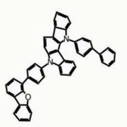 c1ccc(-c2ccc(-n3c4ccccc4c4ccc5c(c6ccccc6n5-c5ccc(-c6cccc7c6oc6ccccc67)cc5)c43)cc2)cc1